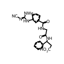 CN/C(=N\C#N)Nc1cccc(C(=O)NCC(=O)NC(CC(=O)O)c2ccccc2)c1